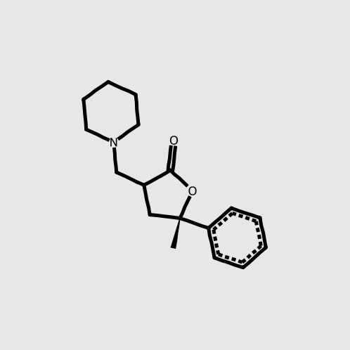 C[C@@]1(c2ccccc2)CC(CN2CCCCC2)C(=O)O1